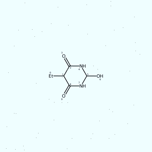 CCC1C(=O)NC(O)NC1=O